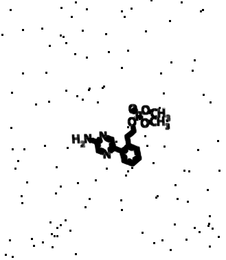 COP(=O)(OC)OCCc1ccccc1-c1cnc(N)cn1